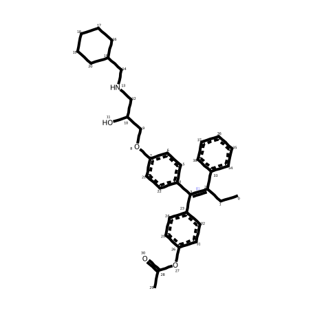 CC/C(=C(/c1ccc(OCC(O)CNCC2CCCCC2)cc1)c1ccc(OC(C)=O)cc1)c1ccccc1